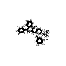 CCS(=O)(=O)C[C@H]1Cc2ncc(N=C(c3ccccc3)c3ccccc3)cc2N(Cc2ccccc2)C1